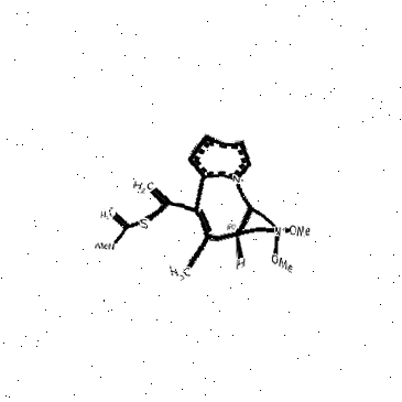 C=C(NC)SC(=C)C1=C(C)[C@@H]2C([n+]3ccccc31)[N+]2(OC)OC